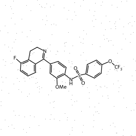 COc1cc(C2=NCCc3c(F)cccc32)ccc1NS(=O)(=O)c1ccc(OC(F)(F)F)cc1